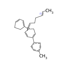 C/C=C/CCC=P1(C2=CC=CCC2)C=CC(c2ccc(C)cc2)=CC1